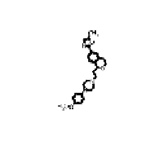 COc1ccc(N2CCN(CCC3OCCc4cc(-c5ncc(C)o5)ccc43)CC2)cc1